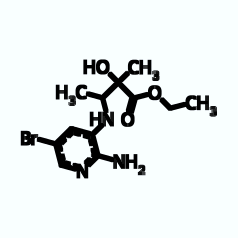 CCOC(=O)C(C)(O)C(C)Nc1cc(Br)cnc1N